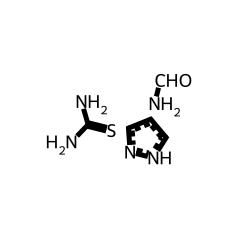 NC(N)=S.NC=O.c1cn[nH]c1